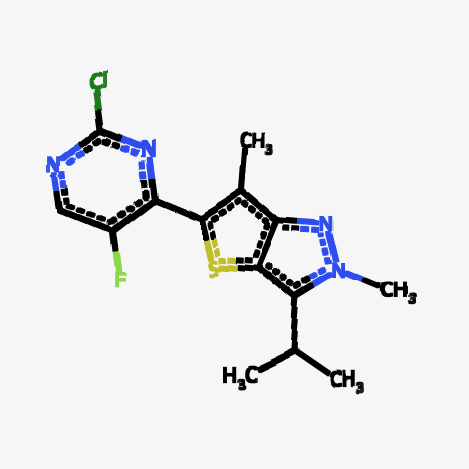 Cc1c(-c2nc(Cl)ncc2F)sc2c(C(C)C)n(C)nc12